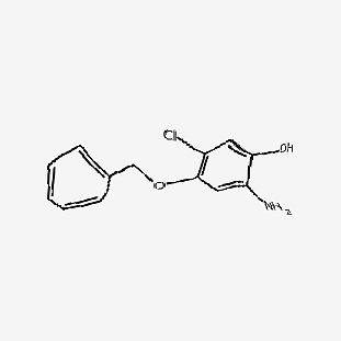 Nc1cc(OCc2ccccc2)c(Cl)cc1O